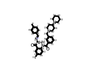 Cc1ccc(/C=N/NC(=O)c2cc(I)ccc2NC(=O)c2cccc(CN3CCC(N4CCCCC4)CC3)c2)cc1